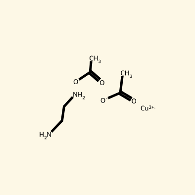 CC(=O)[O-].CC(=O)[O-].NCCN.[Cu+2]